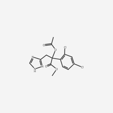 COC(=O)C(Cc1nc[nH]n1)(OC(C)=O)c1ccc(Cl)cc1Cl